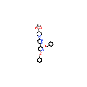 CC(C)(C)OC(=O)C1CCN(c2ccc(-c3ccc(OCc4ccccc4)nc3OCc3ccccc3)nn2)CC1